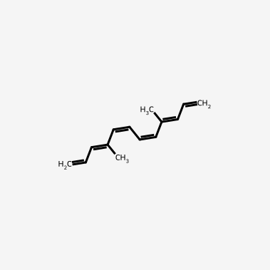 C=C/C=C(C)/C=C\C=C/C(C)=C/C=C